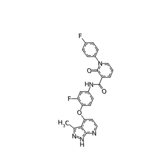 Cc1n[nH]c2nccc(Oc3ccc(NC(=O)c4cccn(-c5ccc(F)cc5)c4=O)cc3F)c12